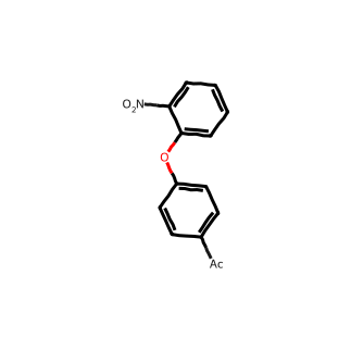 CC(=O)c1ccc(Oc2ccccc2[N+](=O)[O-])cc1